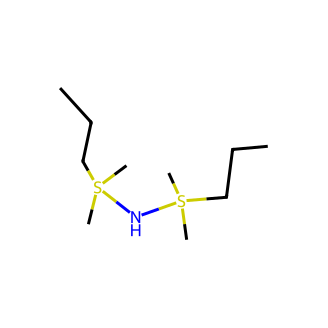 CCCS(C)(C)NS(C)(C)CCC